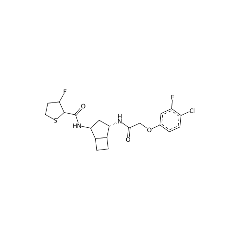 O=C(COc1ccc(Cl)c(F)c1)N[C@H]1CC(NC(=O)C2SCCC2F)C2CCC21